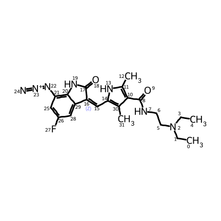 CCN(CC)CCNC(=O)c1c(C)[nH]c(/C=C2\C(=O)Nc3c(N=[N+]=[N-])cc(F)cc32)c1C